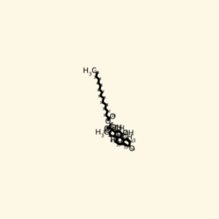 CCCCCCCCCCCCCCCC(=O)OCC(=O)[C@@]1(O)[C@H](C)C[C@H]2[C@@H]3CCC4=CC(=O)C=C[C@]4(C)[C@@]3(F)[C@@H](O)C[C@@]21C